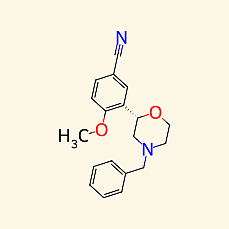 COc1ccc(C#N)cc1[C@H]1CN(Cc2ccccc2)CCO1